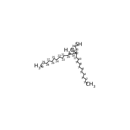 CCCCCCCCCCCCC[Si](C)(CCS)CCCCCCCCCCCCC